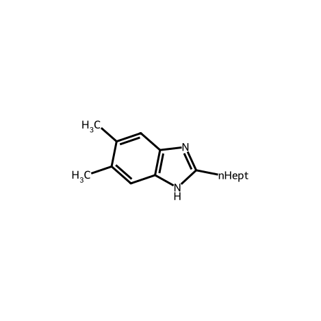 CCCCCCCc1nc2cc(C)c(C)cc2[nH]1